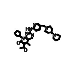 CC(=O)c1c(C)c2cnc(Nc3ccc(CN4CCC(N5CCCCC5)CC4)cn3)nc2n(C2CCCC2)c1=O